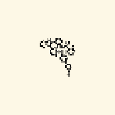 Cc1ccccc1C(=O)Nc1cccc(-c2nc3ccccn3c2-c2ccnc(Nc3ccc(C4CCNC4)cc3)n2)c1